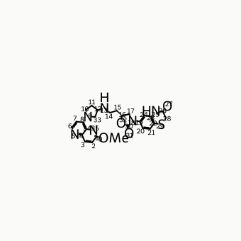 COc1ccc2nccc(N3CC[C@@H](NCC[C@H]4CN(c5ccc6c(c5)NC(=O)CS6)C(=O)O4)C3)c2n1